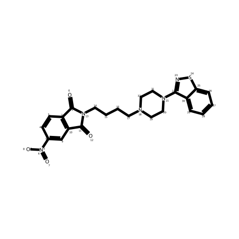 O=C1c2ccc([N+](=O)[O-])cc2C(=O)N1CCCCN1CCN(c2nsc3ccccc23)CC1